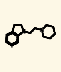 [c]1ccc2c(c1)N(CCN1CCCCC1)CC2